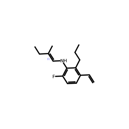 C=Cc1ccc(F)c(N/C=C(\C)CC)c1CCC